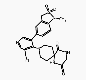 CN1c2ccc(-c3cncc(Cl)c3N3CCC4(CC3)NC(=O)CNC4=O)cc2CS1(=O)=O